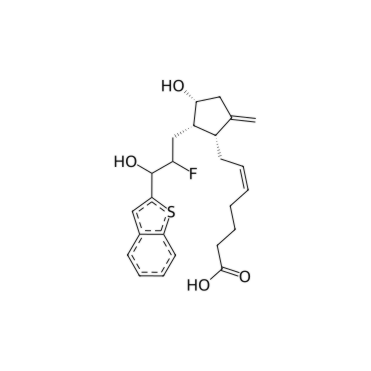 C=C1C[C@@H](O)[C@@H](CC(F)C(O)c2cc3ccccc3s2)[C@H]1C/C=C\CCCC(=O)O